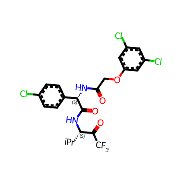 CC(C)[C@H](NC(=O)[C@@H](NC(=O)COc1cc(Cl)cc(Cl)c1)c1ccc(Cl)cc1)C(=O)C(F)(F)F